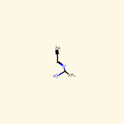 C#CC=NC(C)N